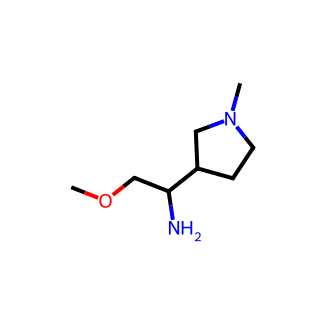 COCC(N)C1CCN(C)C1